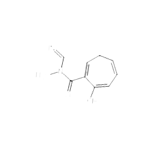 CC1=CC=CCC=C1C(=O)N(C)C=N